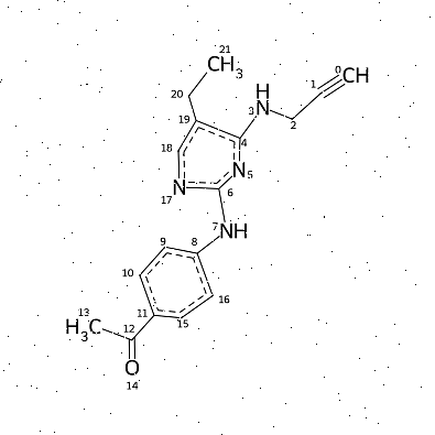 C#CCNc1nc(Nc2ccc(C(C)=O)cc2)ncc1CC